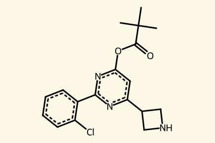 CC(C)(C)C(=O)Oc1cc(C2CNC2)nc(-c2ccccc2Cl)n1